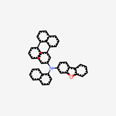 c1ccc(-c2cccc3cccc(-c4cccc(N(c5ccc6c(c5)oc5ccccc56)c5cccc6ccccc56)c4)c23)cc1